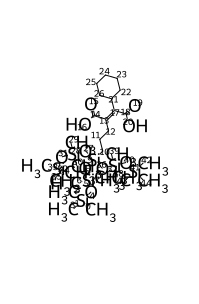 C[Si](C)(C)O[Si](C)(C)O[Si](CCC/C(C(=O)O)=C(\C(=O)O)C1CCCCC1)(O[Si](C)(C)O[Si](C)(C)C)O[Si](C)(C)O[Si](C)(C)C